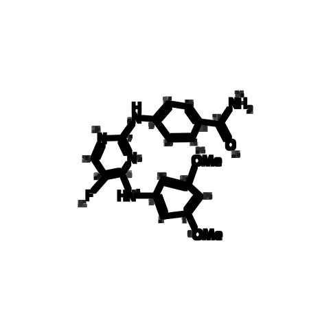 COc1cc(Nc2nc(Nc3ccc(C(N)=O)cc3)ncc2F)cc(OC)c1